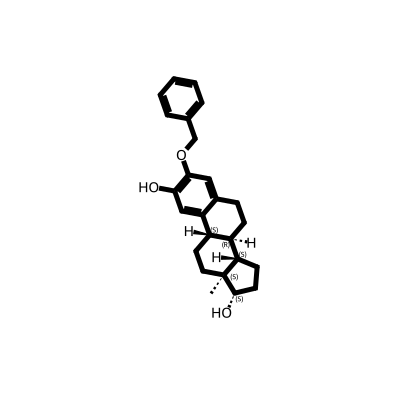 C[C@]12CC[C@@H]3c4cc(O)c(OCc5ccccc5)cc4CC[C@H]3[C@@H]1CC[C@@H]2O